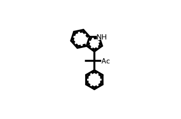 CC(=O)C(C)(c1ccccc1)c1c[nH]c2ccccc12